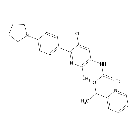 C=C(Nc1cc(Cl)c(-c2ccc(N3CCCC3)cc2)nc1C)OC(C)c1ccccn1